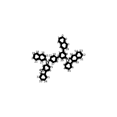 c1ccc2cc(-c3cc(-c4ccc(N(c5ccc6ccccc6c5)c5ccc6c(c5)sc5ccccc56)cc4)cc(-n4c5ccccc5c5cc6ccccc6cc54)c3)ccc2c1